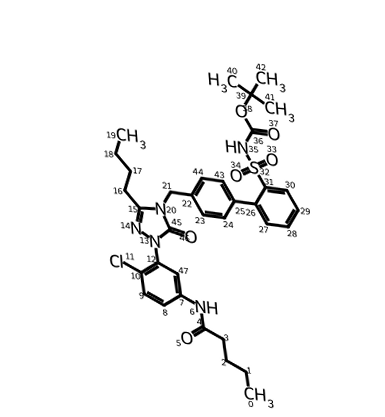 CCCCC(=O)Nc1ccc(Cl)c(-n2nc(CCCC)n(Cc3ccc(-c4ccccc4S(=O)(=O)NC(=O)OC(C)(C)C)cc3)c2=O)c1